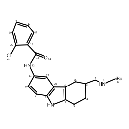 CCC(C)NCC1CCc2[nH]c3ccc(NC(=O)c4ccccc4Cl)cc3c2C1